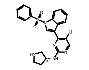 O=S(=O)(c1ccccc1)n1cc(-c2nc(N[C@@H]3CCNC3)ncc2Cl)c2ccccc21